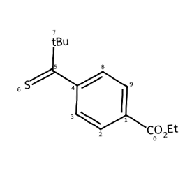 CCOC(=O)c1ccc(C(=S)C(C)(C)C)cc1